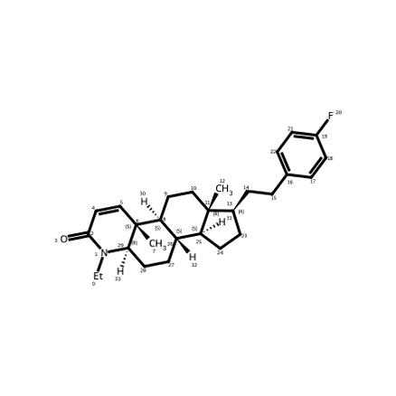 CCN1C(=O)C=C[C@]2(C)[C@H]3CC[C@]4(C)[C@@H](CCc5ccc(F)cc5)CC[C@H]4[C@@H]3CC[C@@H]12